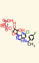 CC(Nc1cc(Cl)nc2c1cnn2[C@@H]1O[C@H](COP(=O)(O)CP(=O)(O)O)[C@@H](O)[C@H]1O)c1ccc(F)cc1